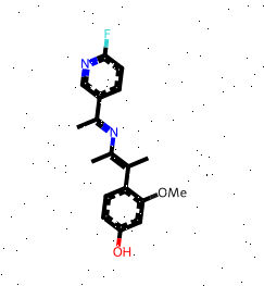 COc1cc(O)ccc1/C(C)=C(C)/N=C(\C)c1ccc(F)nc1